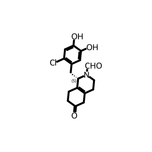 O=CN1CCC2=C(CCC(=O)C2)[C@@H]1Cc1cc(O)c(O)cc1Cl